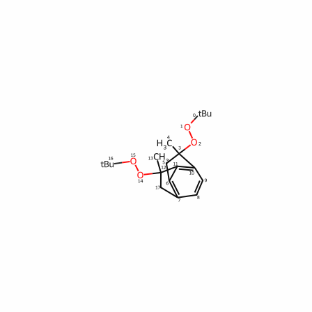 CC(C)(C)OOC1(C)Cc2c3ccc1c2C(C)(OOC(C)(C)C)C3